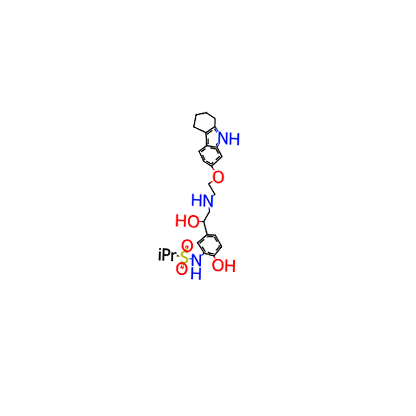 CC(C)S(=O)(=O)Nc1cc(C(O)CNCCOc2ccc3c4c([nH]c3c2)CCCC4)ccc1O